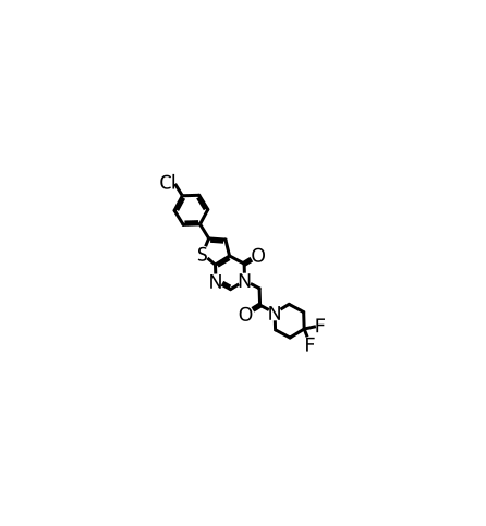 O=C(Cn1cnc2sc(-c3ccc(Cl)cc3)cc2c1=O)N1CCC(F)(F)CC1